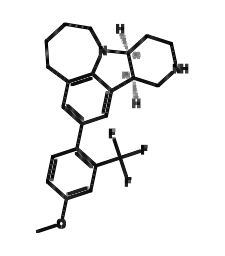 COc1ccc(-c2cc3c4c(c2)[C@@H]2CNCC[C@@H]2N4CCCC3)c(C(F)(F)F)c1